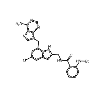 CCNc1ccccc1C(=O)NCc1cc2cc(Cl)cc(Cn3cnc4c(N)ncnc43)c2[nH]1